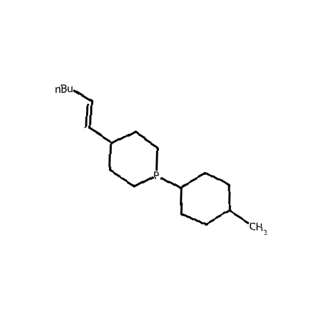 CCCC/C=C/C1CCP(C2CCC(C)CC2)CC1